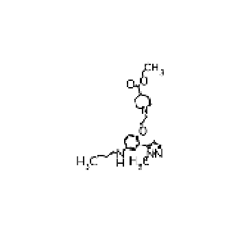 CCCCNc1ccc(OCCN2CCC(C(=O)OCC)CC2)c(-c2ccnn2C)c1